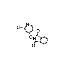 O=C1c2ccccc2C(=O)N1Oc1ccnc(Cl)c1